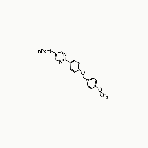 CCCCCc1cnc(-c2ccc(OCc3ccc(OC(F)(F)F)cc3)cc2)nc1